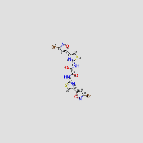 O=C(Nc1nc(-c2cc(Br)no2)cs1)C(=O)Nc1nc(-c2cc(Br)no2)cs1